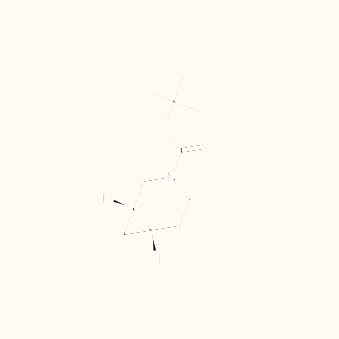 C=C[C@@H]1C[C@@H]2C[C@@H]2CN1C(=O)OC(C)(C)C